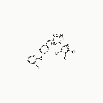 O=C(O)C(=Cc1ccc(Oc2ccccc2I)cc1)NC(=O)c1sc(Cl)c(Cl)c1Cl